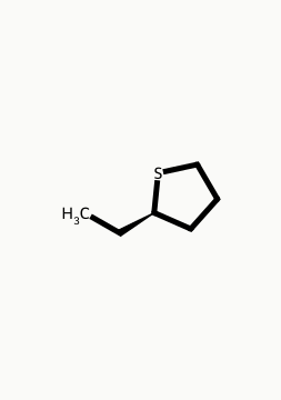 CC[C@@H]1CCCS1